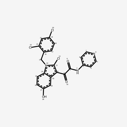 O=C(Nc1ccncc1)C(=O)c1c(Cl)n(Cc2ccc(Cl)cc2Cl)c2ccc(O)cc12